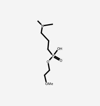 COCCOP(=O)(O)CCCN(C)C